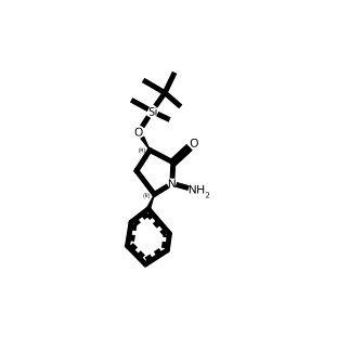 CC(C)(C)[Si](C)(C)O[C@@H]1C[C@H](c2ccccc2)N(N)C1=O